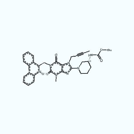 CC#CCn1c(N2CCC[C@@H](NC(=O)OC(C)(C)C)C2)nc2c1c(=O)n(Cc1c3ccccc3c3ccccc3[n+]1[O-])c(=O)n2C